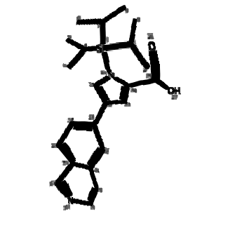 CC(C)[Si](C(C)C)(C(C)C)n1cc(-c2ccc3cnccc3c2)cc1C(=O)O